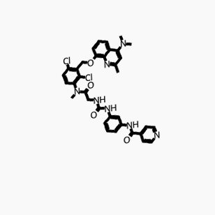 Cc1cc(N(C)C)c2cccc(OCc3c(Cl)ccc(N(C)C(=O)CNC(=O)Nc4cccc(NC(=O)c5ccncc5)c4)c3Cl)c2n1